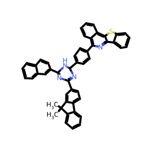 CC1(C)c2ccccc2-c2ccc(C3=NC(c4ccc(-c5nc6c7ccccc7sc6c6ccccc56)cc4)NC(c4ccc5ccccc5c4)=N3)cc21